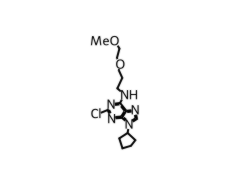 COCCOCCCNc1nc(Cl)nc2c1ncn2C1CCCC1